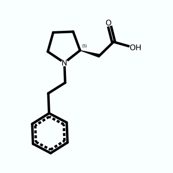 O=C(O)C[C@@H]1CCCN1CCc1ccccc1